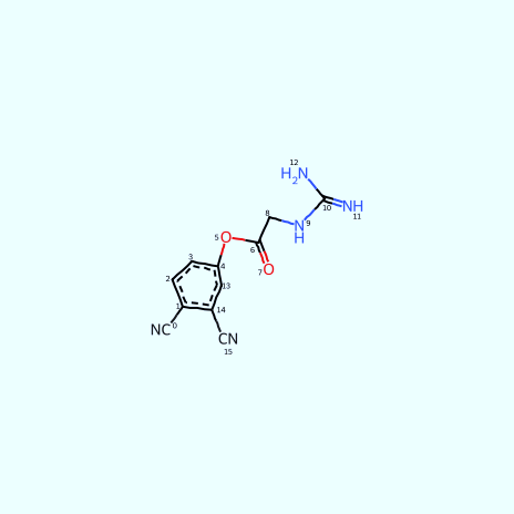 N#Cc1ccc(OC(=O)CNC(=N)N)cc1C#N